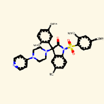 COc1ccc(S(=O)(=O)N2C(=O)C(c3cc(OC)ccc3OC)(N3CCN(c4ccncc4)CC3)c3cc(C#N)ccc32)c(OC)c1